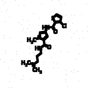 CN(C)CCCNC(=O)c1cc(NC(=O)c2sccc2Cl)cn1C